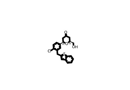 O=C1C[C@@H](CO)O[C@@H](c2ccc(Cl)c(Cc3cc4ccccc4s3)c2)C1